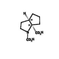 O=C(O)N1CC[C@H]2CCC[C@]21C(=O)O